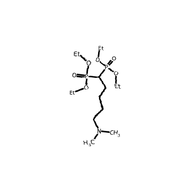 CCOP(=O)(OCC)C(CCCCN(C)C)P(=O)(OCC)OCC